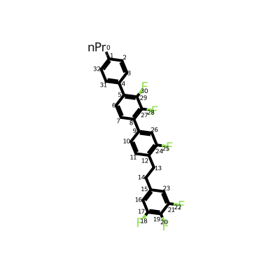 CCCc1ccc(-c2ccc(-c3ccc(CCc4cc(F)c(F)c(F)c4)c(F)c3)c(F)c2F)cc1